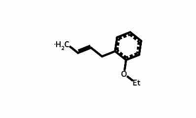 [CH2]C=CCc1ccccc1OCC